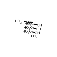 C.O=C(O)O.O=C(O)O.O=C(O)O.O=C(O)O